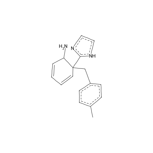 Cc1ccc(CC2(c3ncc[nH]3)C=CC=CC2N)cc1